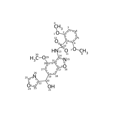 COc1cccc(OC)c1S(=O)(=O)Nc1noc2cc(C(O)c3cocn3)cc(OC)c12